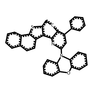 c1ccc(-c2cc(N3c4ccccc4Oc4ccccc43)nc3c2ccc2sc4c5ccccc5ccc4c23)cc1